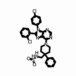 O=[SH](=O)NCC1(c2ccccc2)CCN(c2ncnc3c2nc(-c2ccccc2Cl)n3-c2ccc(Cl)cc2)CC1